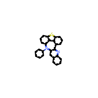 c1ccc(-n2c3cc4ccccc4nc3c3cccc4sc5cccc2c5c43)cc1